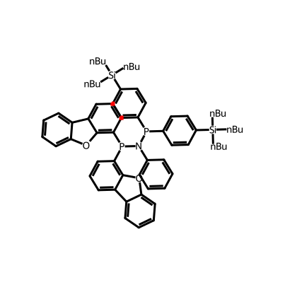 CCCC[Si](CCCC)(CCCC)c1ccc(P(c2ccc([Si](CCCC)(CCCC)CCCC)cc2)N(c2ccccc2)P(c2cccc3c2oc2ccccc23)c2cccc3c2oc2ccccc23)cc1